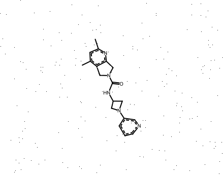 Cc1cc(C)c2c(n1)CN(C(=O)NC1CN(c3cccnc3)C1)C2